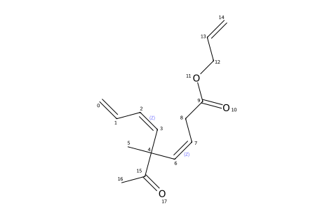 C=C/C=C\C(C)(/C=C\CC(=O)OCC=C)C(C)=O